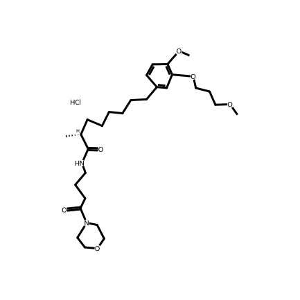 COCCCOc1cc(CCCCCC[C@@H](C)C(=O)NCCCC(=O)N2CCOCC2)ccc1OC.Cl